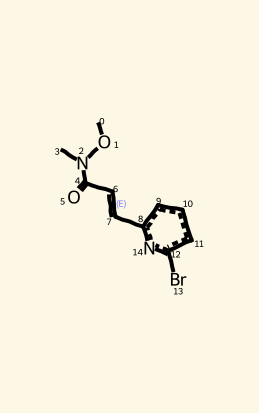 CON(C)C(=O)/C=C/c1cccc(Br)n1